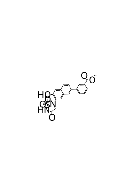 CCOC(=O)c1cccc(-c2ccc3cc(O)c(N4CC(=O)NS4(=O)=O)cc3c2)c1